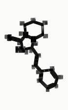 S=C1NC(/C=C/c2ccccc2)N2CCCCN12